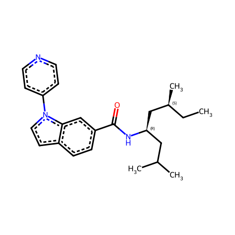 CC[C@H](C)C[C@@H](CC(C)C)NC(=O)c1ccc2ccn(-c3ccncc3)c2c1